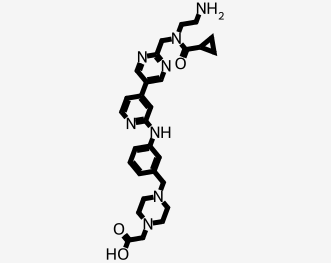 NCCN(Cc1ncc(-c2ccnc(Nc3cccc(CN4CCN(CC(=O)O)CC4)c3)c2)cn1)C(=O)C1CC1